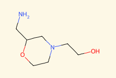 NCC1CN(CCO)CCO1